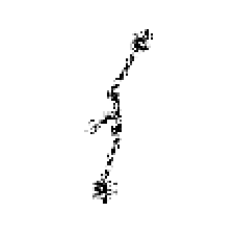 CC(=O)N[C@H]1[C@H]2OC[C@](COCCOCCOCCOCCn3cc(COCC(COCc4cn(CCOCCOCCOCCOC[C@@]56CO[C@@H](O5)[C@H](NC(C)=O)[C@@H](O)[C@H]6O)nn4)NC(=O)CCCNC(=O)O)nn3)(O2)[C@H](O)[C@@H]1O